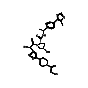 Cc1ncsc1-c1ccc([C@H](C)NC(=O)[C@@H]2C[C@@H](O)CN2C(=O)[C@H](C(C)C)n2cc(C3CCN(C(=O)OC(C)(C)C)CC3)nn2)cc1